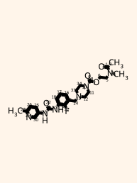 CC(=O)N(C)CCOC(=O)N1CCN(Cc2cccc(NC(=O)Nc3ccc(C)nc3)c2F)CC1